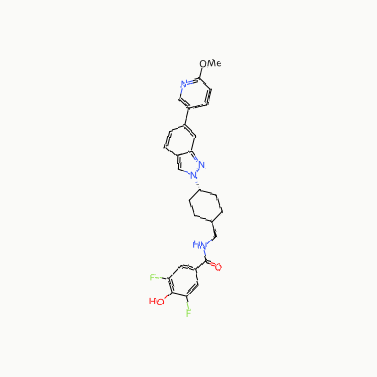 COc1ccc(-c2ccc3cn([C@H]4CC[C@H](CNC(=O)c5cc(F)c(O)c(F)c5)CC4)nc3c2)cn1